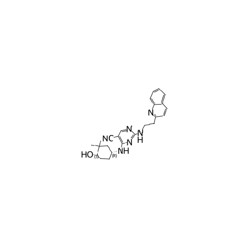 CC1(C)C[C@H](Nc2nc(NCCc3ccc4ccccc4n3)ncc2C#N)CC[C@@H]1O